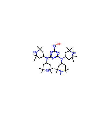 CC1(C)CC(N(c2nc(NO)nc(N(C3CC(C)(C)NC(C)(C)C3)C3CC(C)(C)NC(C)(C)C3)n2)C2CC(C)(C)NC(C)(C)C2)CC(C)(C)N1